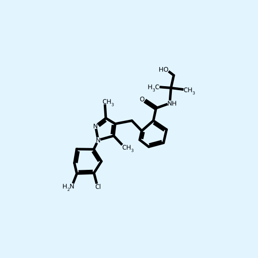 Cc1nn(-c2ccc(N)c(Cl)c2)c(C)c1Cc1ccccc1C(=O)NC(C)(C)CO